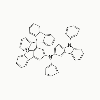 c1ccc(N(c2cc(C3(c4ccccc4)c4ccccc4-c4ccccc43)c3oc4ccccc4c3c2)c2ccc3c(c2)c2ccccc2n3-c2ccccc2)cc1